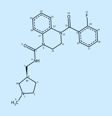 CN1CC[C@H](CNC(=O)N2CCN(C(=O)c3ccccc3F)c3ccccc32)C1